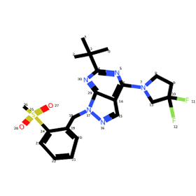 CC(C)(C)c1nc(N2CCC(F)(F)C2)c2cnn(Cc3ccccc3S(C)(=O)=O)c2n1